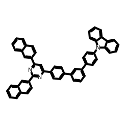 c1cc(-c2ccc(-c3cc(-c4ccc5ccccc5c4)nc(-c4ccc5ccccc5c4)n3)cc2)cc(-c2ccc(-n3c4ccccc4c4ccccc43)cc2)c1